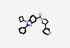 O=C(c1ccc2c(c1)nc(-c1ccccc1)n2C1CCC1)N1CCC(c2cccnc2)C1